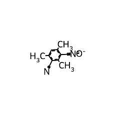 Cc1cc(C)c(C#[N+][O-])c(C)c1C#N